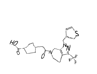 O=C(O)C1CCC(CC(=O)N2CCc3c(C(F)(F)F)nn(Cc4ccsc4)c3C2)CC1